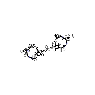 COC1/C=C\C=C(/C)C(=O)NC2=CC(=O)C(NCCOC(=O)OCCNC3=C4CC(C)CC(OC)C(O)C(C)/C=C(\C)C(OC(N)=O)C(OC)/C=C\C=C(/C)C(=O)NC(=CC3=O)C4=O)=C(CC(C)CC(OC)C(O)C(C)/C=C(\C)C1OC(N)=O)C2=O